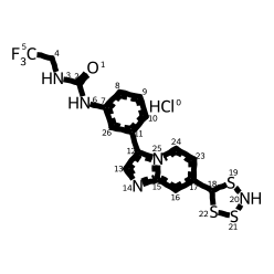 Cl.O=C(NCC(F)(F)F)Nc1cccc(-c2cnc3cc(C4SNSS4)ccn23)c1